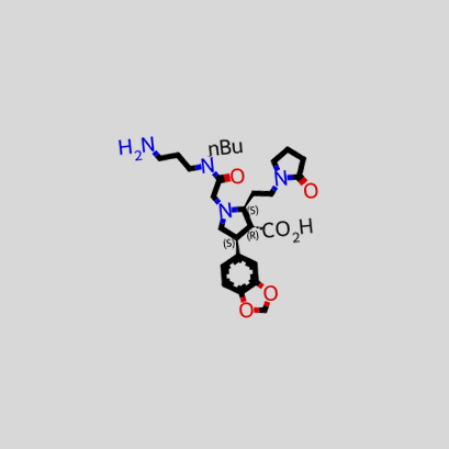 CCCCN(CCCN)C(=O)CN1C[C@H](c2ccc3c(c2)OCO3)[C@@H](C(=O)O)[C@@H]1CCN1CCCC1=O